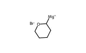 [Br-].[Mg+][CH]1CCCCO1